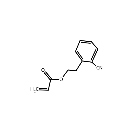 C=CC(=O)OCCc1ccccc1C#N